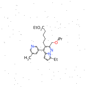 CCOC(=O)CCCCc1c(COC(C)C)nn2c(CC)ccc2c1-c1cncc(C)c1